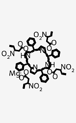 C=CC(CC(=O)Oc1ccccc1-c1c2nc(c(-c3ccccc3OC(=O)CC(C=C)[N+](=O)[O-])c3ccc([nH]3)c(-c3ccccc3OC(=O)CC(C=C)[N+](=O)[O-])c3nc(c(-c4ccccc4OC(=O)CC(C=C)[N+](=O)[O-])c4ccc1[nH]4)C=C3)C=C2)[N+](=O)[O-].[Mg]